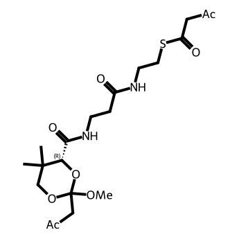 COC1(CC(C)=O)OCC(C)(C)[C@H](C(=O)NCCC(=O)NCCSC(=O)CC(C)=O)O1